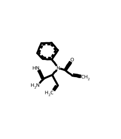 C=CC(=O)N(c1ccccc1)C(C=C)C(=N)N